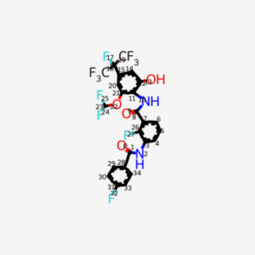 O=C(Nc1cccc(C(=O)Nc2c(O)cc(C(F)(C(F)(F)F)C(F)(F)F)cc2OC(F)F)c1F)c1ccc(F)cc1